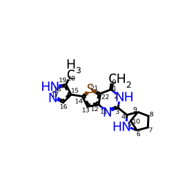 C=C1NC(C2NC3CCC2C3)=Nc2cc(-c3cn[nH]c3C)sc21